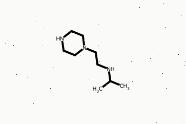 CC(C)NCCN1CCNCC1